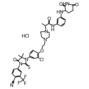 CC(C(=O)Nc1cccc(NC2CCC(=O)NC2=O)c1)N1CCN(CCOc2ccc(N3C(=S)N(c4ccc(C#N)c(C(F)(F)F)c4)C(=O)C3(C)C)cc2Cl)CC1.Cl